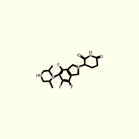 CC1CNCC(C)N1c1c(F)c(F)c2c(c1F)CN(C1CCC(=O)NC1=O)C2